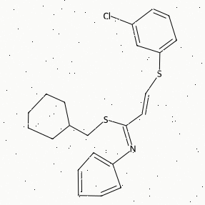 Clc1cccc(SC=CC(=Nc2ccccc2)SCC2CCCCC2)c1